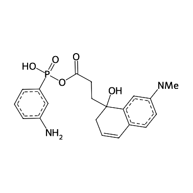 CNc1ccc2c(c1)C(O)(CCC(=O)OP(=O)(O)c1cccc(N)c1)CC=C2